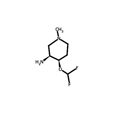 CN1CC[C@@H](OC(F)F)[C@@H](N)C1